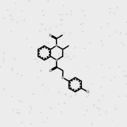 CC(=O)N1c2ccccc2N(C(=O)COc2ccc(Cl)cc2)CC1C